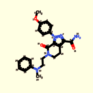 COc1ccc(-n2nc(C(N)=O)c3c2C(=O)N(CCN(C)c2ccccc2)CC3)cc1